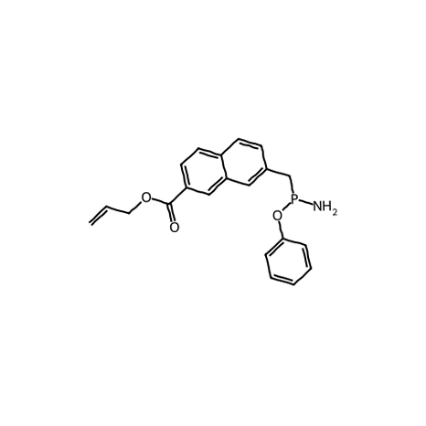 C=CCOC(=O)c1ccc2ccc(CP(N)Oc3ccccc3)cc2c1